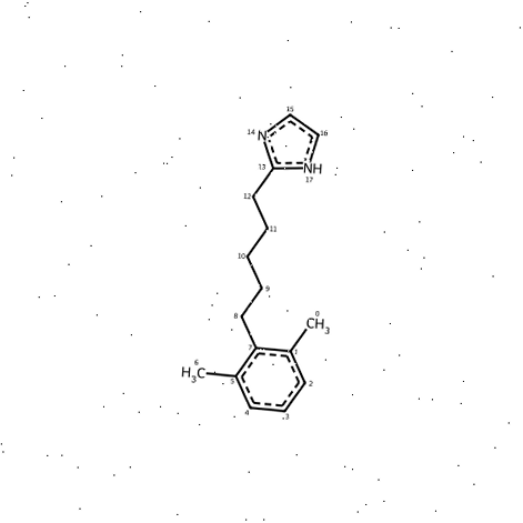 Cc1cccc(C)c1CCCCCc1ncc[nH]1